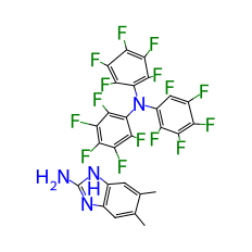 Cc1cc2nc(N)[nH]c2cc1C.Fc1c(F)c(F)c(N(c2c(F)c(F)c(F)c(F)c2F)c2c(F)c(F)c(F)c(F)c2F)c(F)c1F